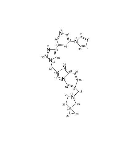 c1ccn(-c2cncc(-c3cn(Cc4cn5cc(CN6CCC7(CC7)C6)ccc5n4)nn3)c2)c1